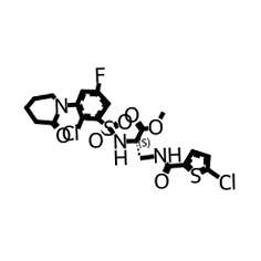 COC(=O)[C@H](CNC(=O)c1ccc(Cl)s1)NS(=O)(=O)c1cc(F)cc(N2CCCCC2=O)c1Cl